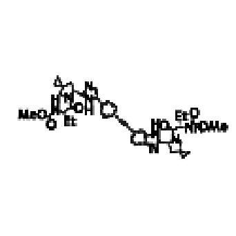 CC[C@H](NC(=O)OC)C(=O)N1CC2(CC2)C[C@H]1c1ncc(-c2ccc(C#Cc3ccc4nc([C@@H]5CC6(CC6)CN5C(=O)[C@H](CC)NC(=O)OC)[nH]c4c3)cc2)[nH]1